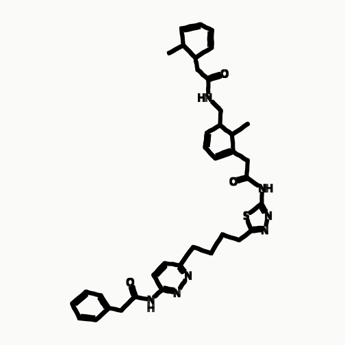 CC1C=CC=CC1CC(=O)NCC1C=CC=C(CC(=O)Nc2nnc(CCCCc3ccc(NC(=O)Cc4ccccc4)nn3)s2)C1C